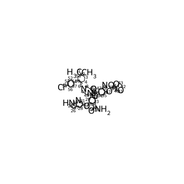 CC1(C)CCC(CN2CC[N+](c3ccc(C(N)=O)c(Oc4cnc5[nH]ccc5c4)c3)(S(=O)(=O)c3ccc(OC[C@H]4COCCO4)c([N+](=O)[O-])c3)CC2)=C(c2ccc(Cl)cc2)C1